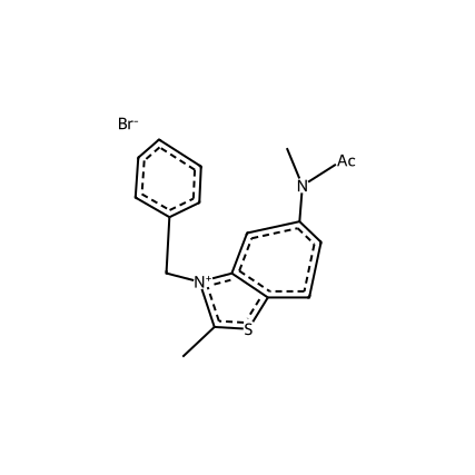 CC(=O)N(C)c1ccc2sc(C)[n+](Cc3ccccc3)c2c1.[Br-]